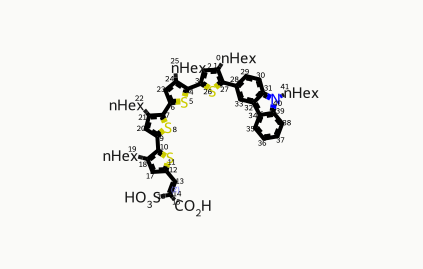 CCCCCCc1cc(-c2sc(-c3sc(-c4sc(/C=C(/C(=O)O)S(=O)(=O)O)cc4CCCCCC)cc3CCCCCC)cc2CCCCCC)sc1-c1ccc2c(c1)c1ccccc1n2CCCCCC